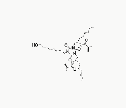 C=C(C)C(=O)OC(CCCCCC)Cn1c(=O)n(CCCCCCCCO)c(=O)n(CC(CCCCCC)OC(=O)C(=C)C)c1=O